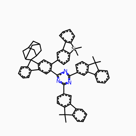 CC1(C)c2ccccc2-c2cc(-c3nc(-c4ccc5c(c4)-c4ccccc4C5(C)C)nc(-c4cc5c(cc4-c4ccc6c(c4)-c4ccccc4[Si]6(C)C)C4(c6ccccc6-5)C5CC6CC(C5)CC4C6)n3)ccc21